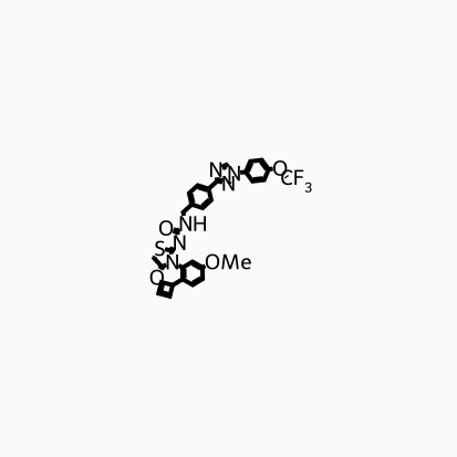 COc1ccc(C2C=C=C2)c(N2C(=O)CS/C2=N\C(=O)NCc2ccc(-c3ncn(-c4ccc(OC(F)(F)F)cc4)n3)cc2)c1